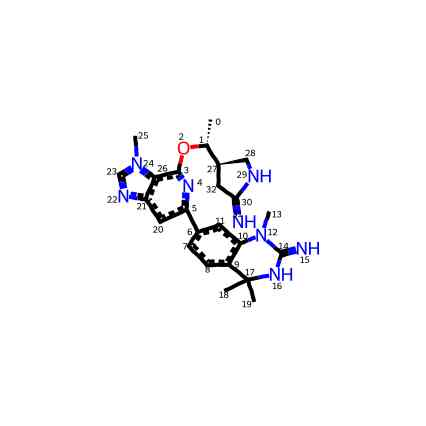 C[C@@H](Oc1nc(-c2ccc3c(c2)N(C)C(=N)NC3(C)C)cc2ncn(C)c12)[C@H]1CNC(=N)C1